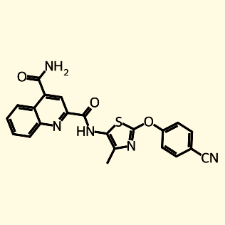 Cc1nc(Oc2ccc(C#N)cc2)sc1NC(=O)c1cc(C(N)=O)c2ccccc2n1